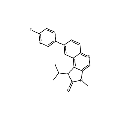 CC(C)n1c(=O)n(C)c2cnc3ccc(-c4ccc(F)nc4)cc3c21